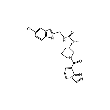 CN(C(=O)NCc1cc2cc(Cl)ccc2[nH]1)[C@@H]1CCCN(C(=O)c2cccn3cnnc23)C1